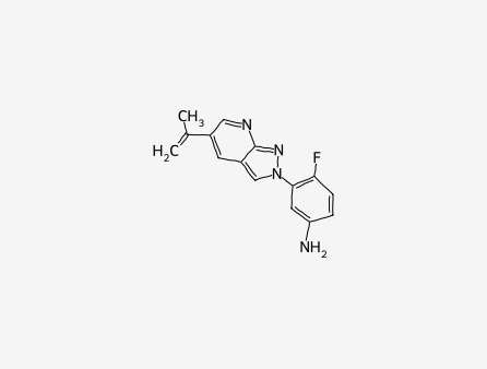 C=C(C)c1cnc2nn(-c3cc(N)ccc3F)cc2c1